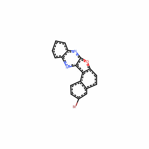 Brc1ccc2c(ccc3oc4nc5ccccc5nc4c32)c1